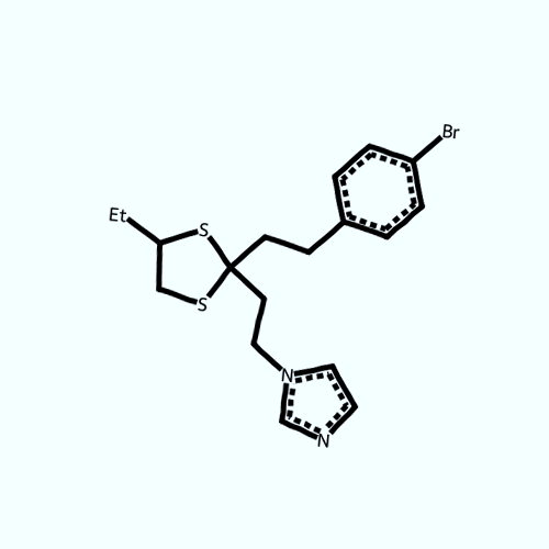 CCC1CSC(CCc2ccc(Br)cc2)(CCn2ccnc2)S1